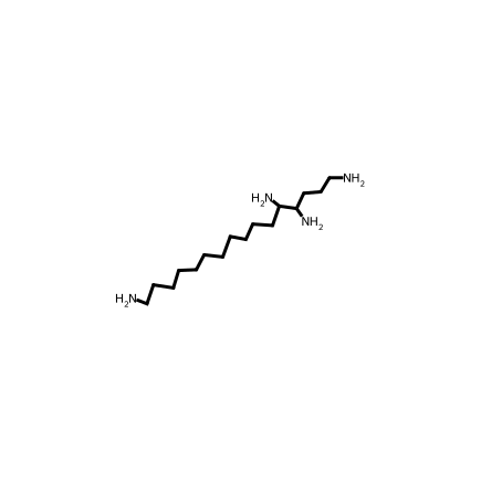 NCCCCCCCCCCCC(N)C(N)CCCN